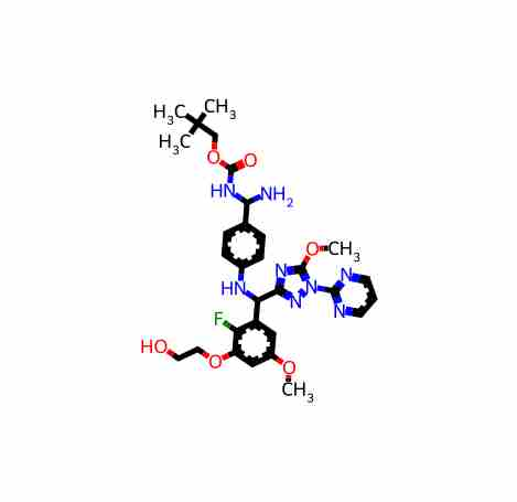 COc1cc(OCCO)c(F)c(C(Nc2ccc(C(N)NC(=O)OCC(C)(C)C)cc2)c2nc(OC)n(-c3ncccn3)n2)c1